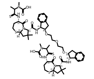 CC(C(=S)N[C@H]1CCS[C@H]2CC(C)(C)[C@@H](C(=O)N[C@H]3c4ccccc4C[C@H]3OCCOCCO[C@@H]3Cc4ccccc4[C@@H]3NC(=O)[C@H]3N4C(=O)[C@@H](NC(=S)C(C)N(C)C(=O)O)CCS[C@H]4CC3(C)C)N2C1=O)N(C)C(=O)O